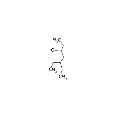 CCC([O])CC(CC)CC